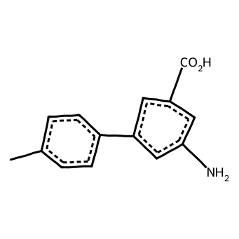 Cc1ccc(-c2cc(N)cc(C(=O)O)c2)cc1